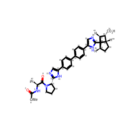 COC(=O)N[C@H](C(=O)N1CCC[C@H]1c1ncc(-c2ccc(-c3ccc(-c4cnc(C56[C@H]7[C@H](C(=O)O)[C@@H]5CC[C@H]76)[nH]4)cc3)cc2)[nH]1)C(C)C